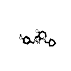 COc1ccc(Cn2cc3c(n2)N(CC2CCCCC2)CCCC3=O)cc1